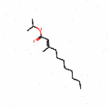 CCCCCCCC/C(C)=C/C(=O)OC(C)C